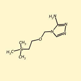 C[Si](C)(C)CCOCn1cnnc1N